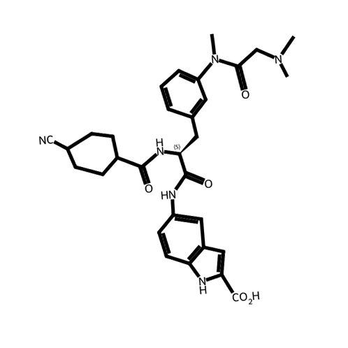 CN(C)CC(=O)N(C)c1cccc(C[C@H](NC(=O)C2CCC(C#N)CC2)C(=O)Nc2ccc3[nH]c(C(=O)O)cc3c2)c1